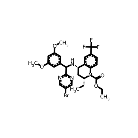 CCOC(=O)N1c2ccc(C(F)(F)F)cc2[C@@H](NC(c2cc(OC)cc(OC)c2)c2ncc(Br)cn2)C[C@H]1CC